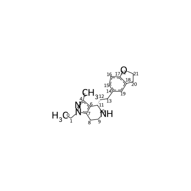 CCn1nc(C)c2c1CCN[C@H]2CCc1ccc2c(c1)CCO2